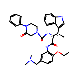 CCOc1ccc(CN(C)C)cc1NC(=O)[C@H](NC(=O)N1CCN(c2ccccc2)C(=O)C1)[C@H](C)c1c[nH]c2ccccc12